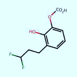 O=C(O)Oc1cccc(CCC(F)F)c1O